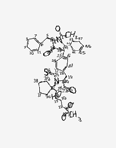 CC(=O)N1[C@H](Cc2ccccc2)C(=O)N(c2ccc(C[C@@H](C(=O)O)N(C=S)C3(CCCCS(C)(=O)=O)CCCC3)cc2)[C@H]1c1ccccc1